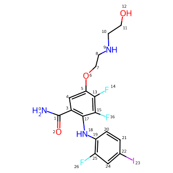 NC(=O)c1cc(OCCNCCO)c(F)c(F)c1Nc1ccc(I)cc1F